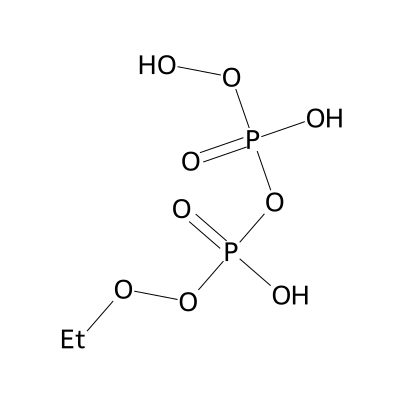 CCOOP(=O)(O)OP(=O)(O)OO